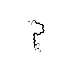 CCCCC/C=C\C/C=C\C/C=C\C/C=C\CCCCC(Cl)CN